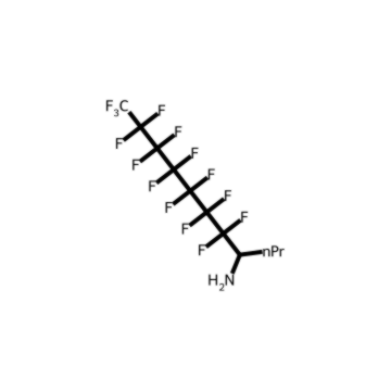 CCCC(N)C(F)(F)C(F)(F)C(F)(F)C(F)(F)C(F)(F)C(F)(F)C(F)(F)F